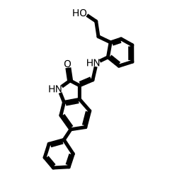 O=C1Nc2cc(-c3ccccc3)ccc2C1=CNc1ccccc1CCO